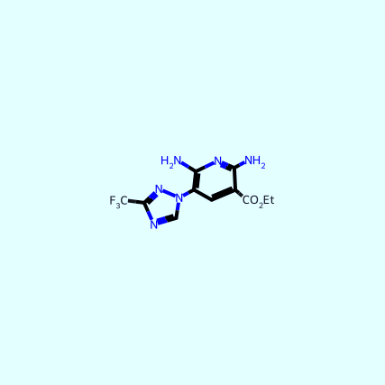 CCOC(=O)c1cc(-n2cnc(C(F)(F)F)n2)c(N)nc1N